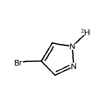 [2H]n1cc(Br)cn1